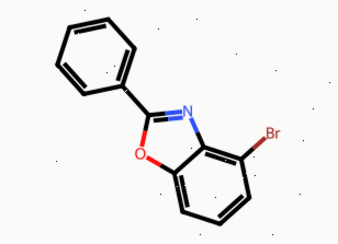 Brc1cccc2oc(-c3ccccc3)nc12